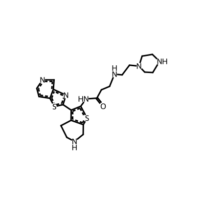 O=C(CCNCCN1CCNCC1)Nc1sc2c(c1-c1nc3cnccc3s1)CCNC2